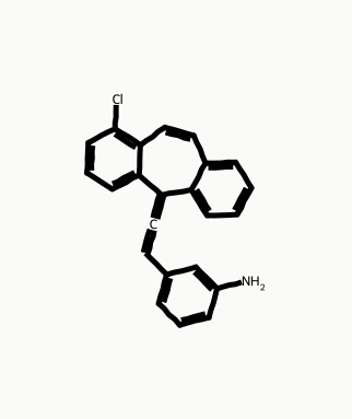 Nc1cccc(C=C=C2c3ccccc3C=Cc3c(Cl)cccc32)c1